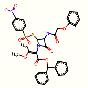 COC(C)=C(C(=O)OC(c1ccccc1)c1ccccc1)N1C(=O)C(NC(=O)COc2ccccc2)C1SS(=O)(=O)c1ccc([N+](=O)[O-])cc1